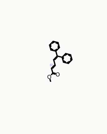 COC(=O)/C=C/C=C(c1ccccc1)c1ccccc1